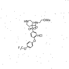 COCCNC(=O)C1(S(=O)(=O)c2ccc(Oc3ccc(OC(F)(F)F)cc3)cc2)CCNCC1.Cl